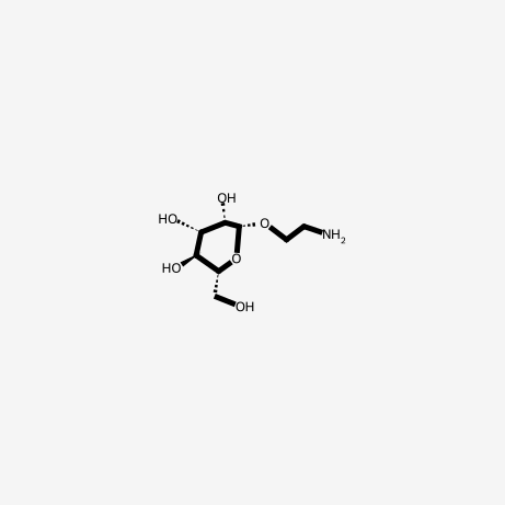 NCCO[C@@H]1O[C@H](CO)[C@@H](O)[C@H](O)[C@@H]1O